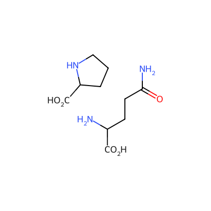 NC(=O)CCC(N)C(=O)O.O=C(O)C1CCCN1